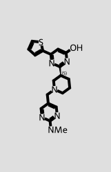 CNc1ncc(CN2CCC[C@H](c3nc(O)cc(-c4cccs4)n3)C2)cn1